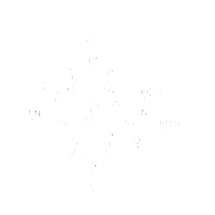 CCCCCCCCN(CCCCCCCC)S(=O)(=O)c1cc(Cl)ccc1-c1ccc(Cl)cc1S(N)(=O)=O